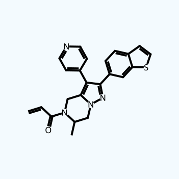 C=CC(=O)N1Cc2c(-c3ccncc3)c(-c3ccc4ccsc4c3)nn2CC1C